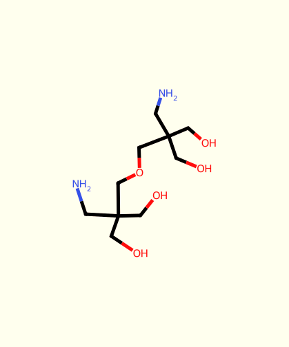 NCC(CO)(CO)COCC(CN)(CO)CO